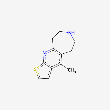 Cc1c2c(nc3sccc13)CCNCC2